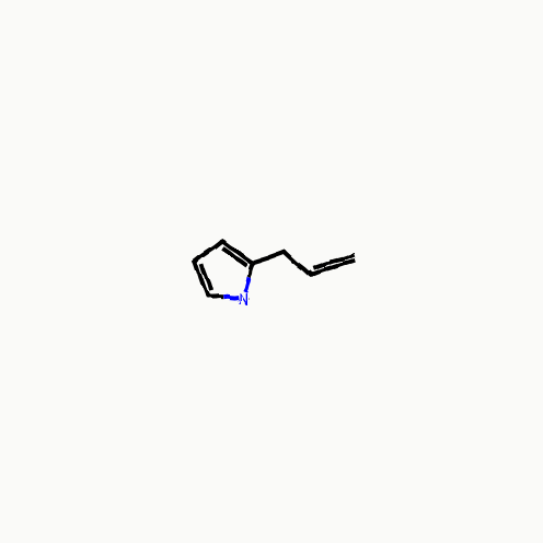 C=CCC1=CC=C[N]1